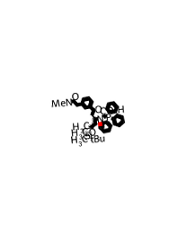 CNC(=O)Cc1cccc(C(=O)C[C@@H]2[C@@H]([C@@H](C)O[Si](C)(C)C(C)(C)C)C(=O)N2C(C(=O)O)=P(c2ccccc2)(c2ccccc2)c2ccccc2)c1